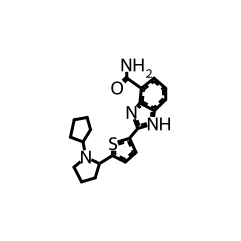 NC(=O)c1cccc2[nH]c(-c3ccc(C4CCCN4C4CCCC4)s3)nc12